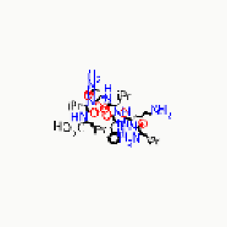 CC(C)C[C@H](NC(=O)[C@@H](NC(=O)[C@H](CC(N)=O)NC(=O)[C@H](CC(C)C)NC(=O)[C@H](Cc1ccccc1)NC(=O)[C@H](CCCCN)NC(=O)[C@@H](N)CC(C)C)C(C)C)C(=O)O